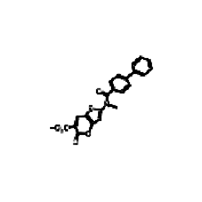 CN(C(=O)c1ccc(-c2ccccc2)cc1)c1cc2oc(=O)c(C(=O)O)cc2s1